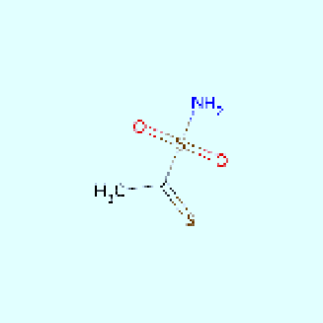 CC(=S)S(N)(=O)=O